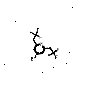 FC(F)(F)Cc1cc(Br)cc(CC(F)(F)F)n1